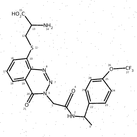 CC(NC(=O)Cn1nnc2c(SCC(N)C(=O)O)cccc2c1=O)c1ccc(OC(F)(F)F)cc1